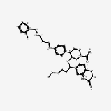 COCCCC(OC1CN(C(=O)O)CCC1c1ccc(OCCCOCc2ccccc2C)cc1)c1ccc2c(c1)NC(=O)CC2